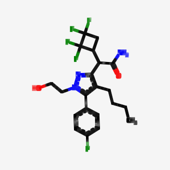 CCCCc1c(C(C(N)=O)C2CC(F)(F)C2(F)F)nn(CCO)c1-c1ccc(F)cc1